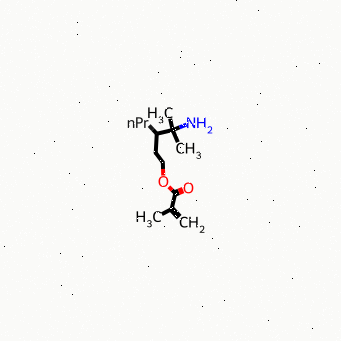 C=C(C)C(=O)OCCC(CCC)C(C)(C)N